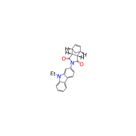 CCn1c2ccccc2c2ccc(N3C(=O)[C@@H]4[C@H](C3=O)[C@@H]3C=C[C@H]4C3)cc21